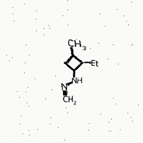 C=NNC1CC(C)[C@H]1CC